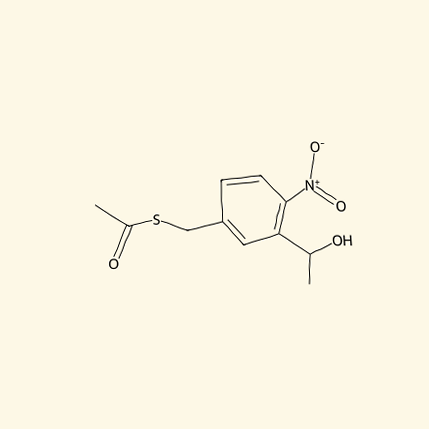 CC(=O)SCc1ccc([N+](=O)[O-])c(C(C)O)c1